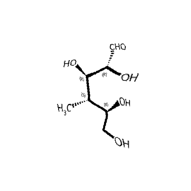 C[C@H]([C@@H](O)[C@@H](O)C=O)[C@@H](O)CO